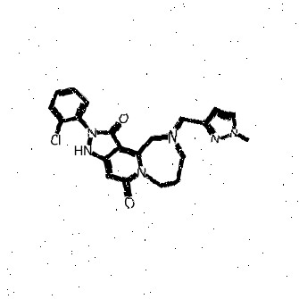 Cn1ccc(CN2CCCn3c(c4c(=O)n(-c5ccccc5Cl)[nH]c4cc3=O)C2)n1